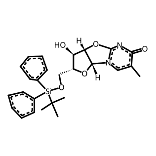 Cc1cn2c(nc1=O)O[C@H]1[C@H](O)[C@@H](CO[Si](c3ccccc3)(c3ccccc3)C(C)(C)C)O[C@H]12